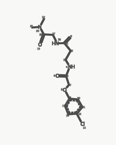 C=C(CCNC(=O)COc1ccc(Cl)cc1)NCC(=O)N(C)C